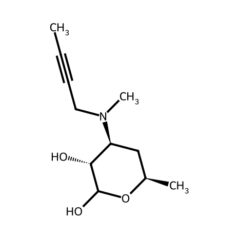 CC#CCN(C)[C@H]1C[C@@H](C)OC(O)[C@@H]1O